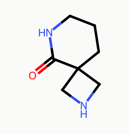 O=C1NCCCC12CNC2